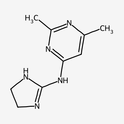 Cc1cc(NC2=NCCN2)nc(C)n1